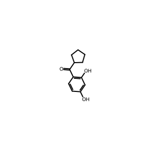 O=C(c1ccc(O)cc1O)C1CCCC1